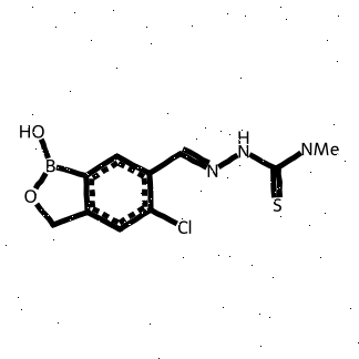 CNC(=S)NN=Cc1cc2c(cc1Cl)COB2O